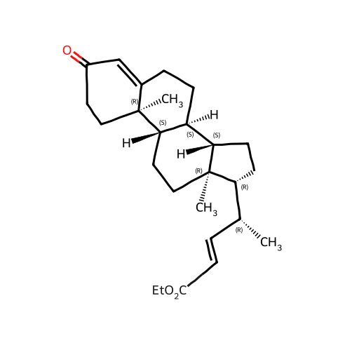 CCOC(=O)C=C[C@@H](C)[C@H]1CC[C@H]2[C@@H]3CCC4=CC(=O)CC[C@]4(C)[C@H]3CC[C@]12C